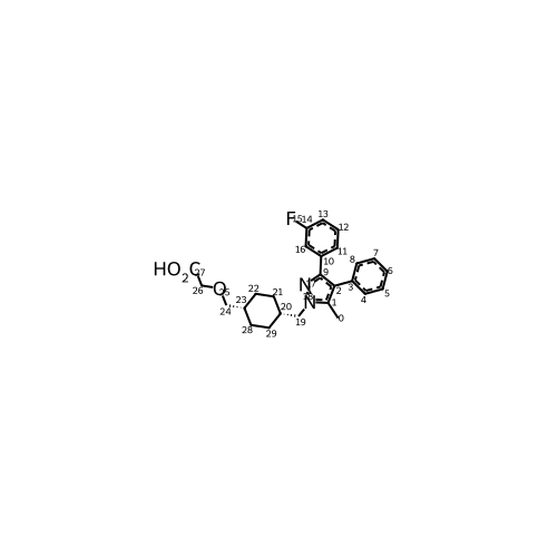 Cc1c(-c2ccccc2)c(-c2cccc(F)c2)nn1C[C@H]1CC[C@@H](COCC(=O)O)CC1